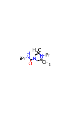 CC(C)NC(=O)N1C[C@@H](C)N(C(C)C)[C@@H](C)C1